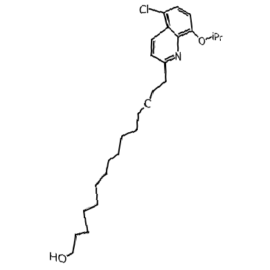 CC(C)Oc1ccc(Cl)c2ccc(CCCCCCCCCCCCCCCO)nc12